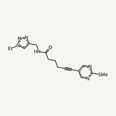 CCn1cc(CNC(=O)CCCC#Cc2cnc(SC)nc2)nn1